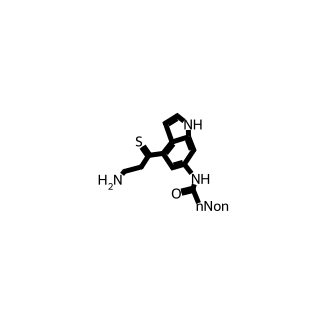 CCCCCCCCCC(=O)Nc1cc(C(=S)CCN)c2cc[nH]c2c1